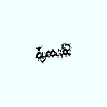 C[C@@H]1C[C@H]1c1ccc2c(n1)N(c1ccc3cnc(CNC(=O)c4cc(F)c5c(c4)S(=O)(=O)[C@@H](F)COC5)cc3n1)CCO2